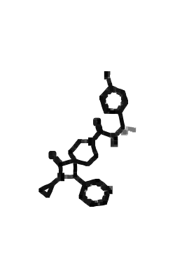 C[C@H](NC(=O)N1CCC2(CC1)C(=O)N(C1CC1)C2c1cccnc1)c1ccc(F)cc1